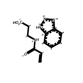 C=CC(=O)NCCC(=O)O.c1ccc2[nH]nnc2c1